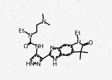 CCN(CCN(C)C)C(=O)Nc1c[nH]nc1-c1nc2cc3c(cc2[nH]1)C(C)(C)C(=O)N3CC